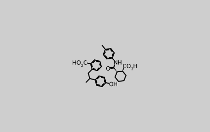 CC(Cc1ccccc1C(=O)O)c1ccc(O)cc1.Cc1ccc(NC(=O)[C@@H]2CCCC[C@@H]2C(=O)O)cc1